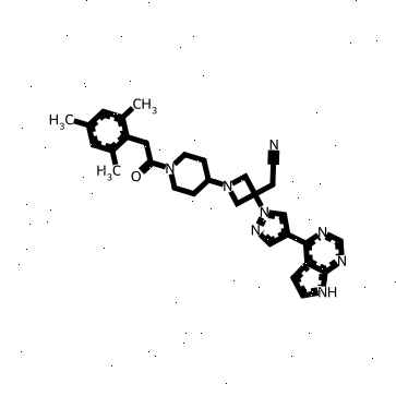 Cc1cc(C)c(CC(=O)N2CCC(N3CC(CC#N)(n4cc(-c5ncnc6[nH]ccc56)cn4)C3)CC2)c(C)c1